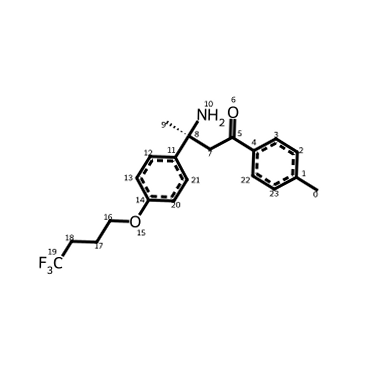 Cc1ccc(C(=O)C[C@](C)(N)c2ccc(OCCCC(F)(F)F)cc2)cc1